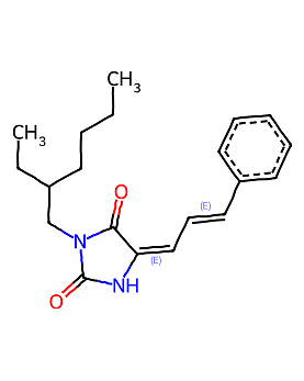 CCCCC(CC)CN1C(=O)N/C(=C/C=C/c2ccccc2)C1=O